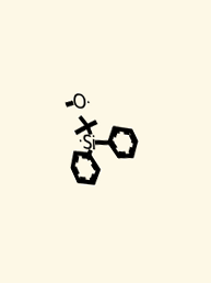 CC(C)(C)[Si](c1ccccc1)c1ccccc1.C[O]